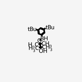 CC(C)(C)c1cc(BOC(C)(C)C(C)(C)O)cc(C(C)(C)C)c1